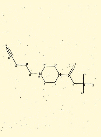 CC(C)(C)CC(=O)N1CCN(CCCC#N)CC1